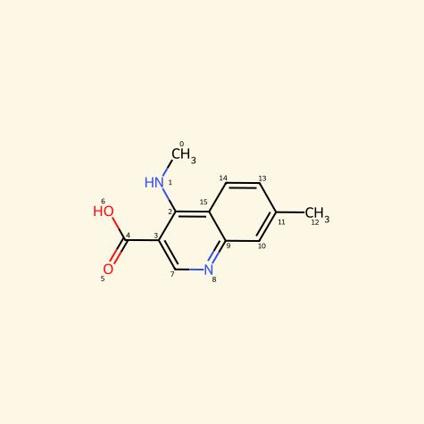 CNc1c(C(=O)O)cnc2cc(C)ccc12